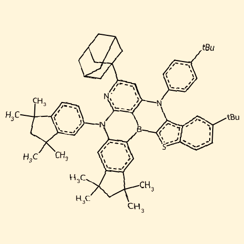 CC(C)(C)c1ccc(N2c3cc(C45CC6CC(CC(C6)C4)C5)nc4c3B(c3cc5c(cc3N4c3ccc4c(c3)C(C)(C)CC4(C)C)C(C)(C)CC5(C)C)c3sc4ccc(C(C)(C)C)cc4c32)cc1